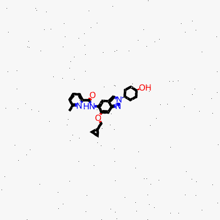 Cc1cccc(C(=O)Nc2cc3cn([C@H]4CC[C@H](O)CC4)nc3cc2OCC2CC2)n1